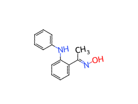 C/C(=N\O)c1ccccc1Nc1ccccc1